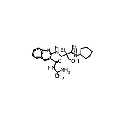 CCC(NC1CCCCC1)C(CC)(CO)CNc1nc2ccccc2cc1C(=O)NC(C)N